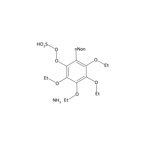 CCCCCCCCCc1c(OCC)c(OCC)c(OCC)c(OCC)c1OOS(=O)(=O)O.N